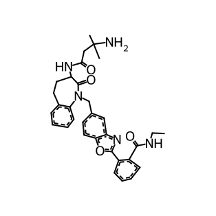 CCNC(=O)c1ccccc1-c1nc2cc(CN3C(=O)C(NC(=O)CC(C)(C)N)CCc4ccccc43)ccc2o1